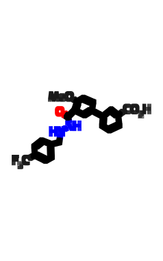 COc1ccc(-c2cccc(C(=O)O)c2)cc1C(=O)NNCc1ccc(C(F)(F)F)cc1